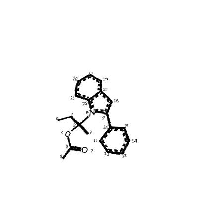 CCC(C)(OC(C)=O)n1c(-c2ccccc2)cc2ccccc21